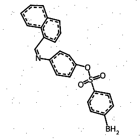 Bc1ccc(S(=O)(=O)Oc2ccc(/N=C\c3cccc4ccccc34)cc2)cc1